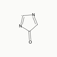 O=C1C=N[C]=N1